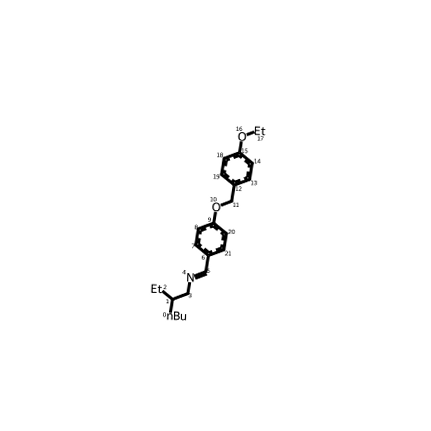 CCCCC(CC)CN=Cc1ccc(OCc2ccc(OCC)cc2)cc1